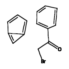 O=C(CBr)c1ccccc1.c1cc2cc-2c1